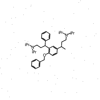 CC(CCN(C(C)C)C(C)C)c1ccc(OCc2ccccc2)c(C(CCN(C(C)C)C(C)C)c2ccccc2)c1